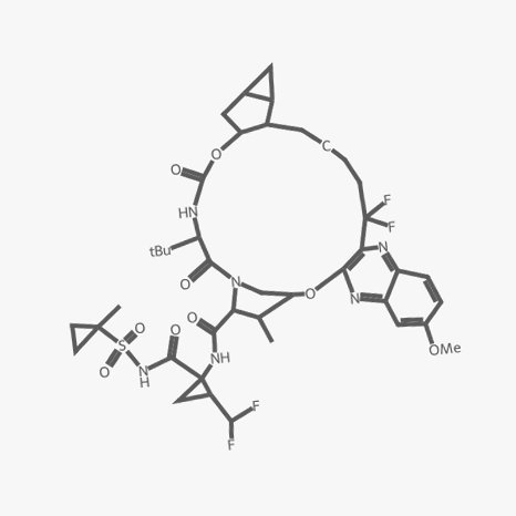 COc1ccc2nc3c(nc2c1)OC1CN(C(=O)C(C(C)(C)C)NC(=O)OC2CC4CC4C2CCCCC3(F)F)C(C(=O)NC2(C(=O)NS(=O)(=O)C3(C)CC3)CC2C(F)F)C1C